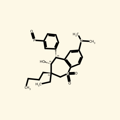 CCCC[C@]1(CC)CS(=O)(=O)c2ccc(N(C)C)cc2[C@@H](c2cccc(P=O)c2)[C@H]1O